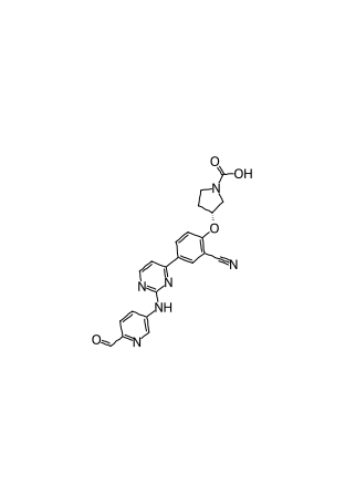 N#Cc1cc(-c2ccnc(Nc3ccc(C=O)nc3)n2)ccc1O[C@@H]1CCN(C(=O)O)C1